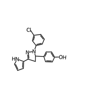 Oc1ccc(C2CC(c3ccc[nH]3)=NN2c2cccc(Cl)c2)cc1